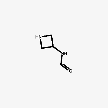 O=CNC1CNC1